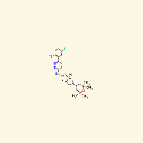 CC1(C)CC(N2CC3CC(Nc4ccc(-c5cc(F)ccc5Cl)nn4)C[C@@H]3C2)CC(C)(C)O1